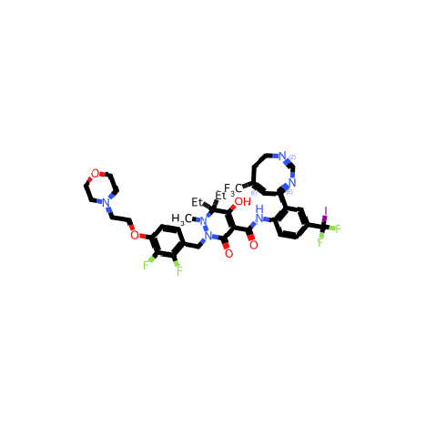 CCC1(CC)C(O)=C(C(=O)Nc2ccc(C(F)(F)I)cc2C2=N/C=N\CC/C(C(F)(F)F)=C\2)C(=O)N(Cc2ccc(OCCN3CCOCC3)c(F)c2F)N1C